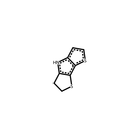 [C]1CSc2c1[nH]c1ccsc21